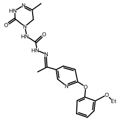 CCOc1ccccc1Oc1ccc(/C(C)=N/NC(=O)NN2CC(C)=NNC2=O)cn1